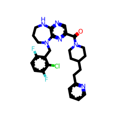 O=C(c1cnc2c(n1)N(Cc1c(F)ccc(F)c1Cl)CCCN2)N1CCC(CCc2ccccn2)CC1